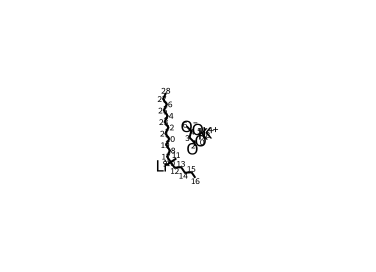 O=C([O-])CC(=O)[O-].[K+].[K+].[Li][C](C)(CCCCC)CCCCCCCCCCCC